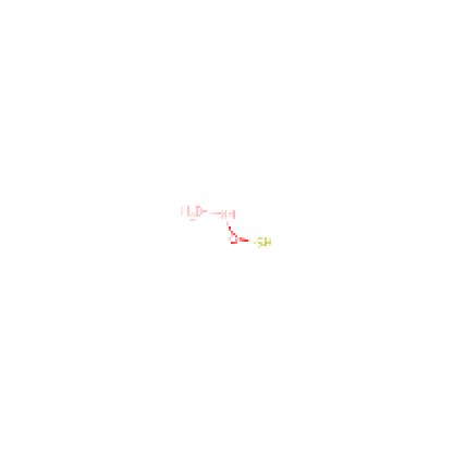 BBOS